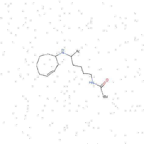 CC(=O)C(CCCCNC(=O)C(C)(C)C)NC1C/C=C\CCCC1